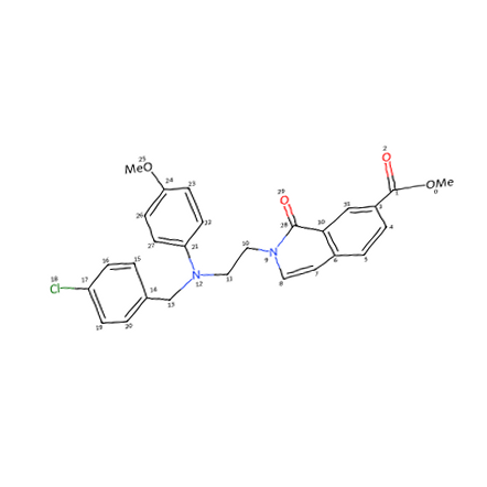 COC(=O)c1ccc2ccn(CCN(Cc3ccc(Cl)cc3)c3ccc(OC)cc3)c(=O)c2c1